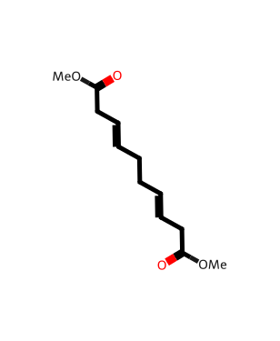 COC(=O)CC=CCCC=CCC(=O)OC